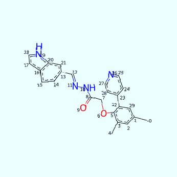 Cc1cc(C)c(OCC(=O)NN=Cc2ccc3cc[nH]c3c2)c(-c2ccncc2)c1